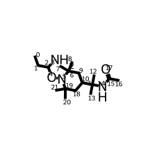 CCC(N)ON1C(C)(C)CC(C(C)(C)NC(C)=O)CC1(C)C